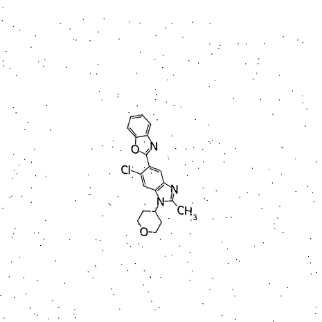 Cc1nc2cc(-c3nc4ccccc4o3)c(Cl)cc2n1C1CCOCC1